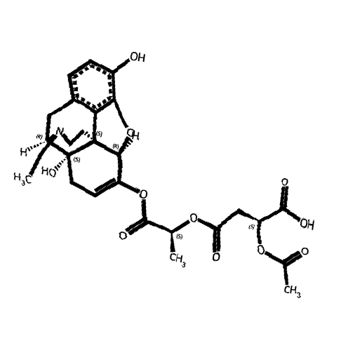 CC(=O)O[C@@H](CC(=O)O[C@@H](C)C(=O)OC1=CC[C@@]2(O)[C@H]3Cc4ccc(O)c5c4[C@@]2(CCN3C)[C@H]1O5)C(=O)O